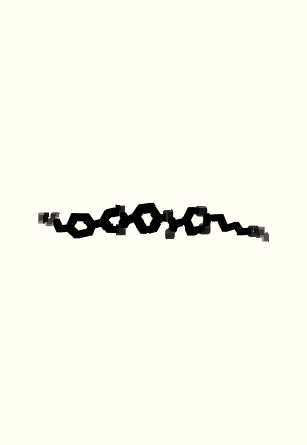 CCCCCC1OCC(C(=O)Oc2ccc(-c3ncc(C4CCC(CC)CC4)cn3)cc2)CO1